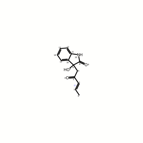 C/C=C/C(=O)CC1(O)C(=O)Nc2ccccc21